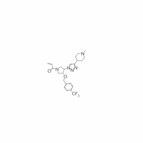 C=CC(=O)N1CC(OCc2ccc(C(F)(F)F)cc2)C(n2cc(C3CCN(C)CC3)nn2)C1